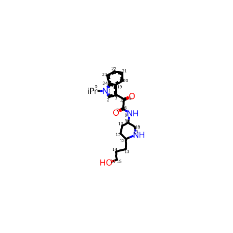 CC(C)n1cc(C(=O)C(=O)NC2CCC(CCCO)NC2)c2ccccc21